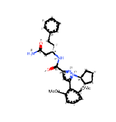 COc1cccc(OC)c1-c1cc(C(=O)N[C@@H](CCc2ccccc2)CC(N)=O)nn1C1CCCC1